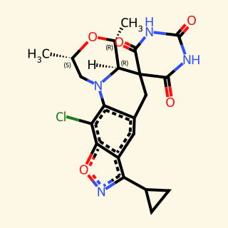 C[C@H]1CN2c3c(cc4c(C5CC5)noc4c3Cl)CC3(C(=O)NC(=O)NC3=O)[C@@H]2[C@@H](C)O1